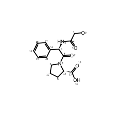 [O]CC(=O)N[C@@H](C(=O)N1CCC[C@H]1C(=O)O)c1ccccc1